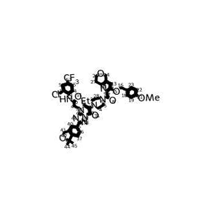 CCc1c(N2CCN(C(=O)c3nc4c(cc3OCc3ccc(OC)cc3)COCC4)CC2)c(=O)n2nc(-c3ccc4c(c3)COC4(C)C)nc2n1CC(=O)Nc1ccc(C(F)(F)F)cc1Cl